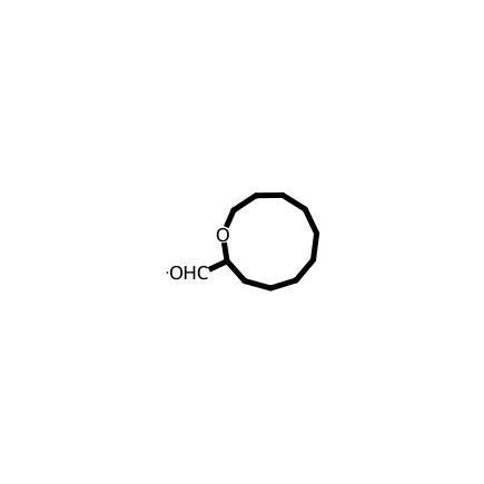 O=[C]C1CCCCCCCCCO1